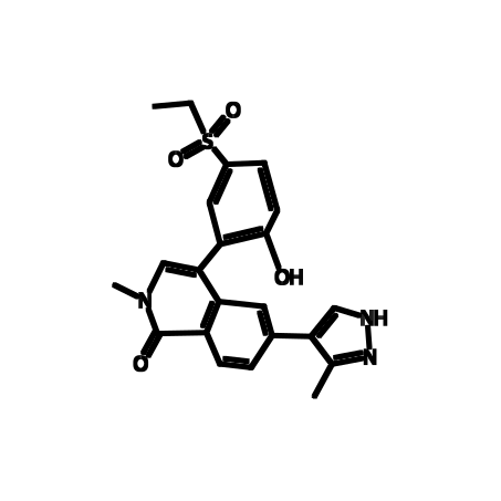 CCS(=O)(=O)c1ccc(O)c(-c2cn(C)c(=O)c3ccc(-c4c[nH]nc4C)cc23)c1